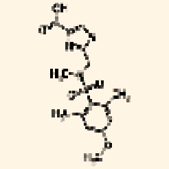 COc1cc(C)c(S(=O)(=O)N(C)Cc2nc(C(=O)O)cs2)c(C)c1